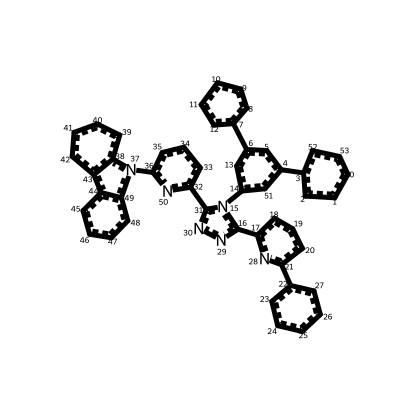 c1ccc(-c2cc(-c3ccccc3)cc(-n3c(-c4cccc(-c5ccccc5)n4)nnc3-c3cccc(-n4c5ccccc5c5ccccc54)n3)c2)cc1